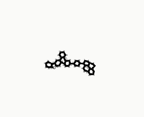 c1cc2ccc3ccc(-c4ccc(-c5ccc6c(c5)c5ccccc5c5cc7c(cc65)oc5ccccc57)cc4)c4ccc(c1)c2c34